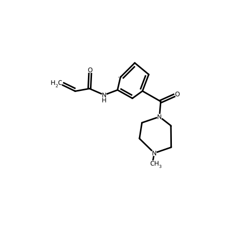 C=CC(=O)Nc1[c]ccc(C(=O)N2CCN(C)CC2)c1